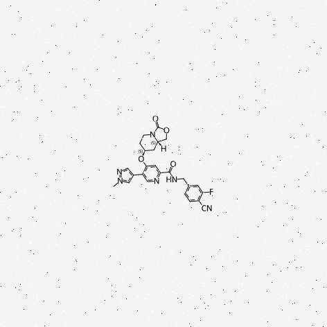 Cn1cc(-c2cnc(C(=O)NCc3ccc(C#N)c(F)c3)cc2O[C@H]2CCN3C(=O)OC[C@@H]3C2)cn1